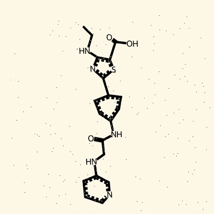 CCNc1nc(-c2ccc(NC(=O)CNc3cccnc3)cc2)sc1C(=O)O